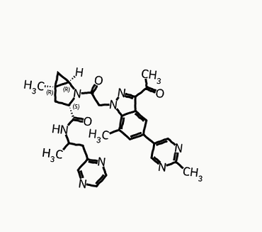 CC(=O)c1nn(CC(=O)N2[C@H](C(=O)NC(C)Cc3cnccn3)C[C@@]3(C)C[C@@H]23)c2c(C)cc(-c3cnc(C)nc3)cc12